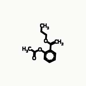 C=C(OCCC)c1ccccc1OC(C)=O